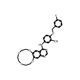 N#Cc1cc(Nc2ncnc3cc4c(cc23)OCCOCCOCCO4)ccc1OCc1cccc(F)c1